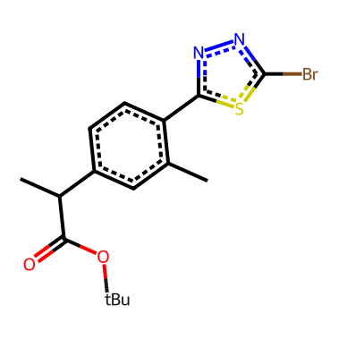 Cc1cc(C(C)C(=O)OC(C)(C)C)ccc1-c1nnc(Br)s1